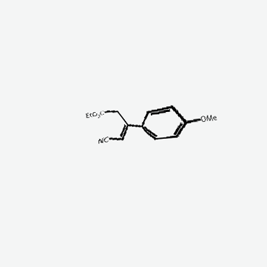 CCOC(=O)CC(=CC#N)c1ccc(OC)cc1